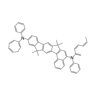 C=C(/C=C\C=C/C)N(c1ccccc1)c1cc2c(c3ccccc13)-c1cc3c(cc1C2(C)C)-c1ccc(N(C2=CCC=CC=C2)c2ccccc2)cc1C3(C)C